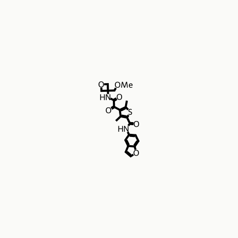 COCC1(NC(=O)C(=O)c2c(C)sc(C(=O)Nc3ccc4occc4c3)c2C)COC1